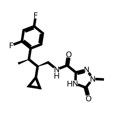 C[C@@H](c1ccc(F)cc1F)[C@@H](CNC(=O)c1nn(C)c(=O)[nH]1)C1CC1